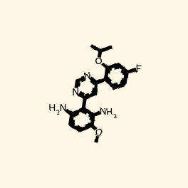 COc1ccc(N)c(-c2cc(-c3ccc(F)cc3OC(C)C)ncn2)c1N